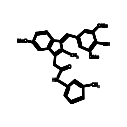 COc1ccc2c(c1)C(CC(=O)Nc1cccc(C)c1)=C(C)C2=Cc1cc(OC)c(O)c(OC)c1